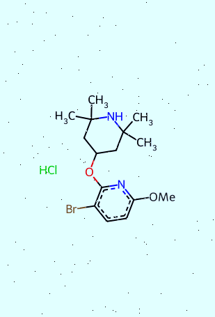 COc1ccc(Br)c(OC2CC(C)(C)NC(C)(C)C2)n1.Cl